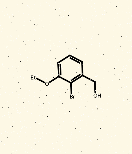 CCOc1cccc(CO)c1Br